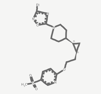 CCc1noc(N2CCC([C@H]3C[C@H]3CCOc3ccc(S(C)(=O)=O)cn3)CC2)n1